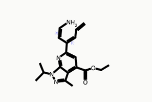 C=C/C=C(\C=C/N)c1cc(C(=O)OCC)c2c(C)nn(C(C)C)c2n1